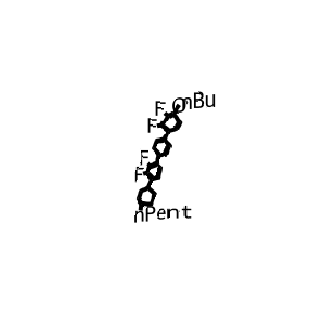 CCCCCC1CCC(c2ccc(-c3ccc(-c4ccc(OCCCC)c(F)c4F)cc3)c(F)c2F)CC1